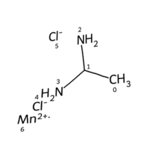 CC(N)N.[Cl-].[Cl-].[Mn+2]